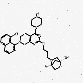 O[C@@]12C[C@@H](CO1)N(CCCOc1nc3c(c(N4CCNCC4)n1)CCN(c1cccc4cccc(Cl)c14)C3)C2